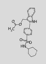 CC(=O)OCc1c(-c2ccc(S(=O)(=O)NC3CCCCC3)cc2)[nH]c2ccccc12